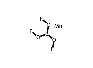 FOB(OF)OF.[Mn]